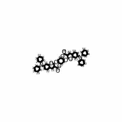 O=C1OC2(CCC3(CC2)OC(=O)C(=Cc2ccc(N(c4ccccc4)c4ccccc4)cc2)C(=O)O3)OC(=O)C1=Cc1ccc(N(c2ccccc2)c2ccccc2)cc1